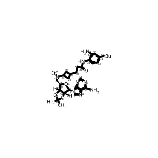 CCN(C[C@H]1O[C@@H](n2cnc3c(N)ncnc32)[C@@H]2OC(C)(C)O[C@@H]21)C1CC(CCC(=O)Nc2ccc(C(C)(C)C)cc2N)C1